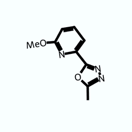 COc1cccc(-c2nnc(C)o2)n1